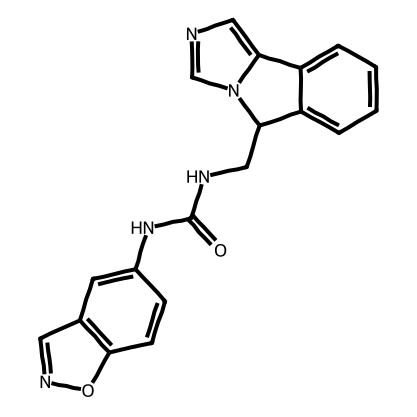 O=C(NCC1c2ccccc2-c2cncn21)Nc1ccc2oncc2c1